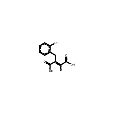 C/C(C(=O)O)=C(/Cc1ccccc1O)C(=O)O